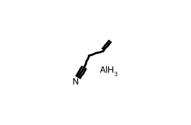 C=CCC#N.[AlH3]